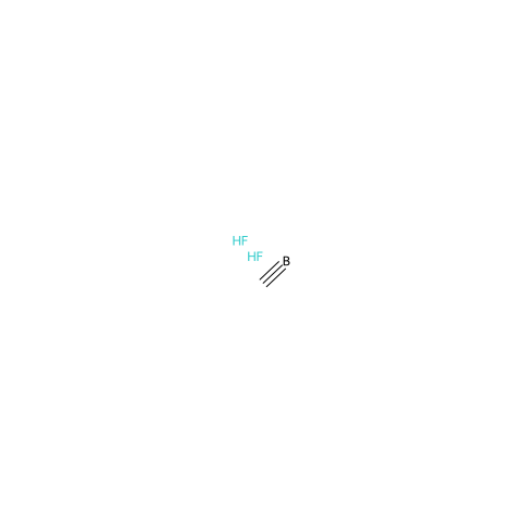 B#C.F.F